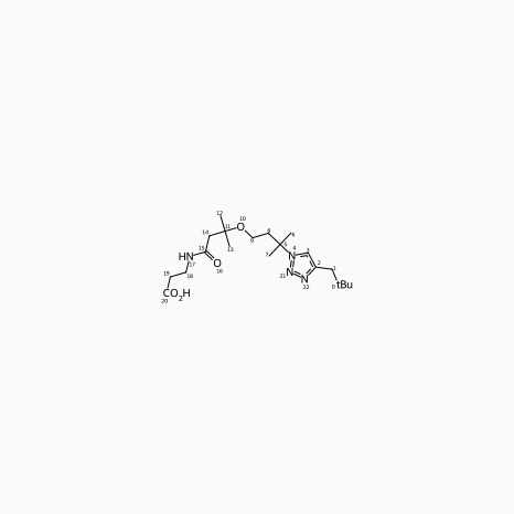 CC(C)(C)Cc1cn(C(C)(C)CCOC(C)(C)CC(=O)NCCC(=O)O)nn1